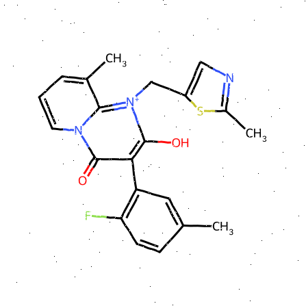 Cc1ccc(F)c(-c2c(O)[n+](Cc3cnc(C)s3)c3c(C)cccn3c2=O)c1